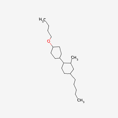 CCCCCC1CCC(C2CCC(OCCCC)CC2)C(C)C1